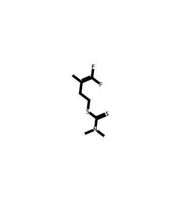 CC(CCSC(=S)N(C)C)=C(F)F